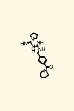 N=C(NCc1ccc(C(=O)N2CCCCC2)cc1)NC(=N)N1CCCC1